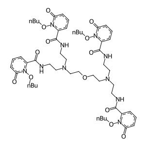 CCCCOn1c(C(=O)NCCN(CCNC(=O)c2cccc(=O)n2OCCCC)CCOCCN(CCNC(=O)c2cccc(=O)n2OCCCC)CCNC(=O)c2cccc(=O)n2OCCCC)cccc1=O